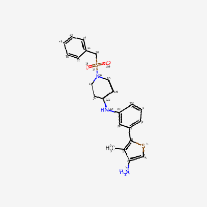 Cc1c(N)csc1-c1cccc(NC2CCN(S(=O)(=O)Cc3ccccc3)CC2)c1